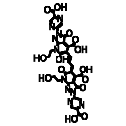 O=C(O)c1cnc(N2N=c3c(c(C(=O)O)c(=CC=Cc4c(C(=O)O)c5c(=O)n(-c6cnc(C(=O)O)cn6)nc-5n(CCO)c4O)c(=O)n3CCO)C2=O)cn1